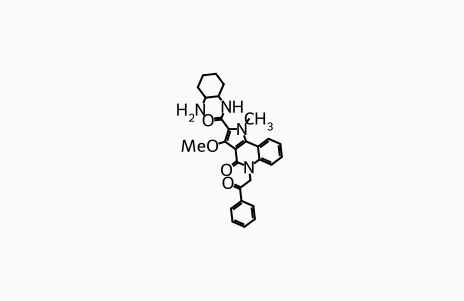 COc1c(C(=O)NC2CCCCC2N)n(C)c2c1c(=O)n(CC(=O)c1ccccc1)c1ccccc21